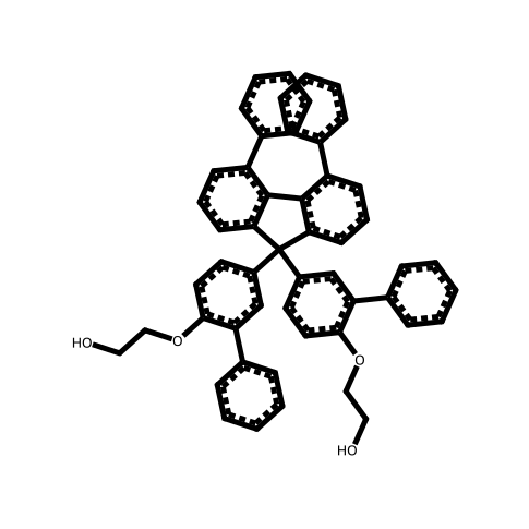 OCCOc1ccc(C2(c3ccc(OCCO)c(-c4ccccc4)c3)c3cccc(-c4ccccc4)c3-c3c(-c4ccccc4)cccc32)cc1-c1ccccc1